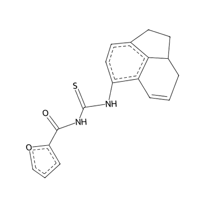 O=C(NC(=S)Nc1ccc2c3c1C=CCC3CC2)c1ccco1